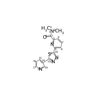 CN(C)C(=O)c1cccc(-c2nnc(-c3cccnc3)s2)n1